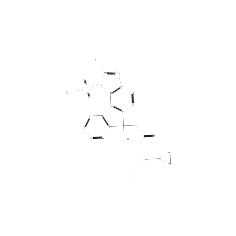 CC(OC(=O)CC(O)(c1ccccc1)c1ccc2nc(N)n(S(=O)(=O)C(C)C)c2c1)C1CC1